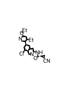 CCOc1cc(CC)c(-c2cc(Cl)c3cnc(NC(=O)[C@@H]4C[C@H]4C#N)cc3c2)cn1